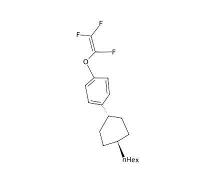 CCCCCC[C@H]1CC[C@H](c2ccc(OC(F)=C(F)F)cc2)CC1